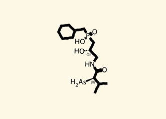 CC(C)[C@@H]([AsH2])C(=O)NC[C@H](O)CP(=O)(O)CC1CCCCC1